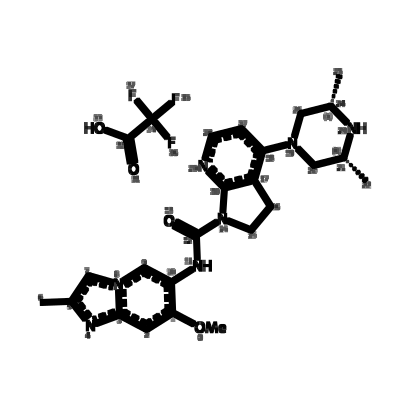 COc1cc2nc(C)cn2cc1NC(=O)N1CCc2c(N3C[C@@H](C)N[C@@H](C)C3)ccnc21.O=C(O)C(F)(F)F